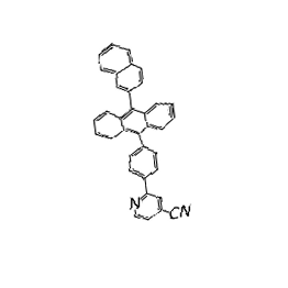 N#Cc1ccnc(-c2ccc(-c3c4ccccc4c(-c4ccc5ccccc5c4)c4ccccc34)cc2)c1